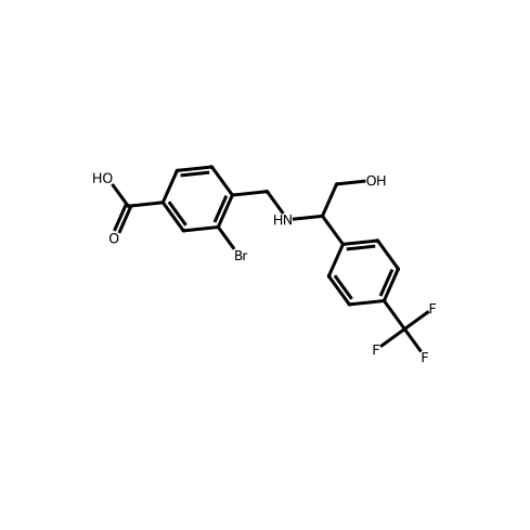 O=C(O)c1ccc(CNC(CO)c2ccc(C(F)(F)F)cc2)c(Br)c1